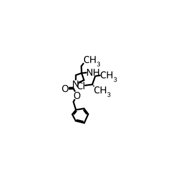 CCC1(NC(C)[C@H](C)Cl)CN(C(=O)OCc2ccccc2)C1